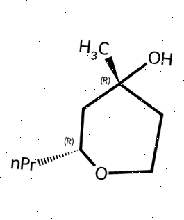 CCC[C@@H]1C[C@](C)(O)CCO1